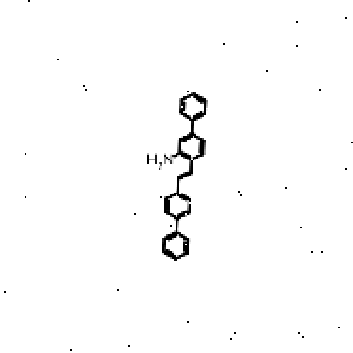 Nc1cc(-c2ccccc2)ccc1C=Cc1ccc(-c2ccccc2)cc1